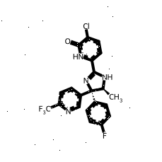 C[C@@H]1NC(c2ccc(Cl)c(=O)[nH]2)=N[C@]1(c1ccc(F)cc1)c1ccc(C(F)(F)F)nc1